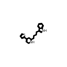 C1=C(c2cccs2)CC(CCCCc2c[nH]c3ccccc23)NC1